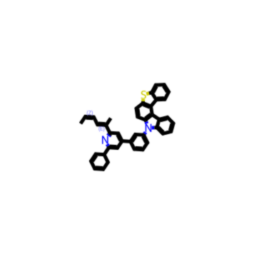 C/C=C\C=C(/C)c1cc(-c2cccc(-n3c4ccccc4c4c5c(ccc43)sc3ccccc35)c2)cc(C2C=CC=CC2)n1